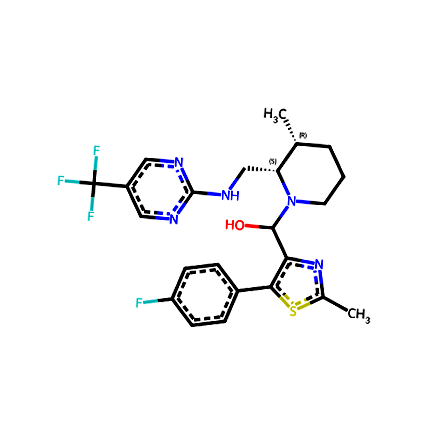 Cc1nc(C(O)N2CCC[C@@H](C)[C@H]2CNc2ncc(C(F)(F)F)cn2)c(-c2ccc(F)cc2)s1